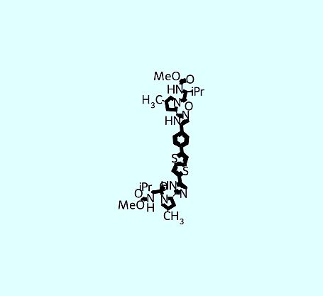 COC(=O)N[C@H](C(=O)N1C[C@@H](C)C[C@H]1c1ncc(-c2ccc(-c3cc4sc(-c5cnc([C@@H]6C[C@H](C)CN6C(=O)[C@@H](NC(=O)OC)C(C)C)[nH]5)cc4s3)cc2)[nH]1)C(C)C